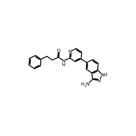 Nc1n[nH]c2ccc(-c3ccnc(NC(=O)CCc4ccccc4)c3)cc12